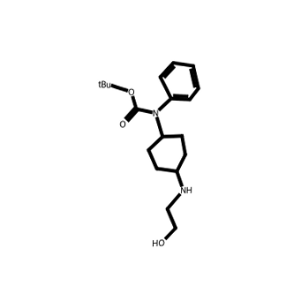 CC(C)(C)OC(=O)N(c1ccccc1)C1CCC(NCCO)CC1